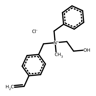 C=Cc1ccc(C[N+](C)(CCO)Cc2ccccc2)cc1.[Cl-]